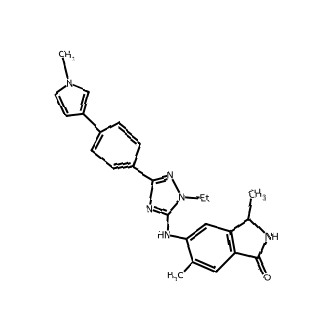 CCn1nc(-c2ccc(-c3ccn(C)c3)cc2)nc1Nc1cc2c(cc1C)C(=O)NC2C